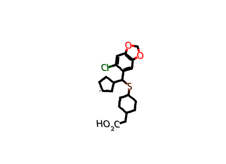 O=C(O)CC1CCC(SC(c2cc3c(cc2Cl)OCO3)C2C[CH]CC2)CC1